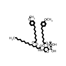 CCCCCCCCCCCC(CC(=O)N[C@H]1CO[C@H](CO)[C@@H](OS(=O)(=O)O)[C@@H]1OC(=O)CCCCCCCc1ccc(OC)cc1)OC(=O)CCCCCCCc1ccc(OC)cc1